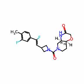 Cc1ccc(C(F)=CC2CN(C(=O)N3CC[C@@H]4OCC(=O)N[C@@H]4C3)C2)cc1F